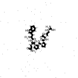 N=C(N)NCCC[C@H](NC(=O)[C@@H]1CCCN1C(=O)[C@@H]1CCCN1C(=O)[C@H](CCC(N)=O)NC(=O)[C@@H](N)Cc1c[nH]c2ccccc12)C(=O)O